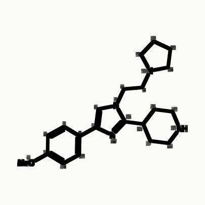 COc1ccc(-c2cn(CCN3CCCC3)c(C3CCNCC3)n2)cc1